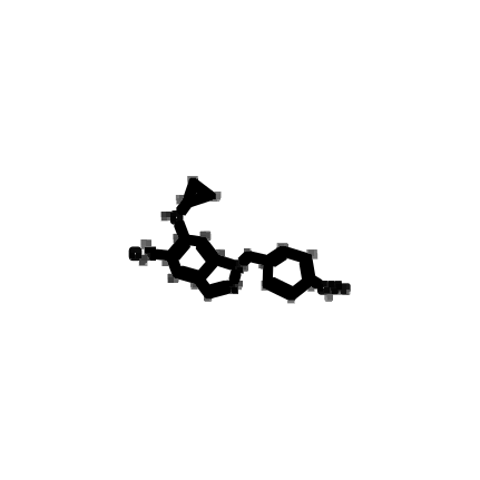 COc1ccc(Cn2ncc3cc([N+](=O)[O-])c(OC4CC4)cc32)cc1